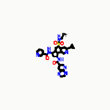 CC(C)CNS(=O)(=O)c1cc2c(c3cnc(C4CC4)cc13)C(NC(=O)c1cnc3nccnc3c1)CC2NC(=O)c1cccnc1